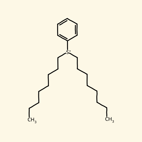 CCCCCCCC[S+](CCCCCCCC)c1ccccc1